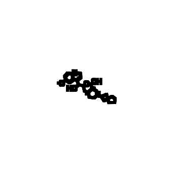 COc1ccc2nccc(C(O)CC[C@@H]3CCN(C4CC5(CCCC5)C4)C[C@@H]3C(=O)O)c2c1